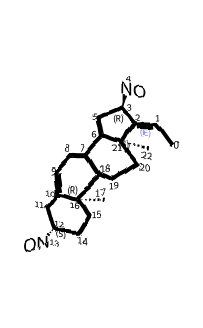 C/C=C1/[C@H](N=O)CC2C3CC=C4C[C@@H](N=O)CC[C@]4(C)C3CC[C@]12C